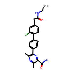 Cc1nc(C)c(-c2ccc(-c3ccc(CC(=O)NCC(=O)O)cc3Cl)cc2)nc1C(N)=O